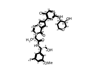 COc1cc(F)cc([C@@H](CO)NC(=O)[C@H](C)n2cnn3cc(-c4nc(N[C@@H]5CCOC[C@@H]5O)ncc4Cl)cc3c2=O)c1